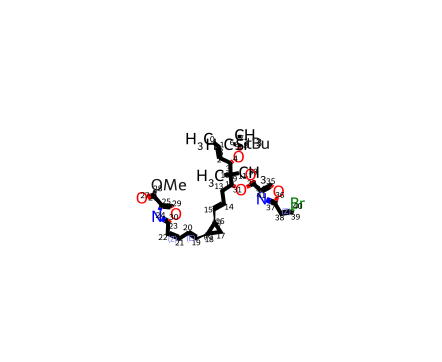 CC=CC(O[Si](C)(C)C(C)(C)C)C(C)(C)C(CC=C[C@H]1C[C@H]1/C=C/C=C\c1nc(C(=O)OC)co1)OC(=O)c1coc(/C=C\Br)n1